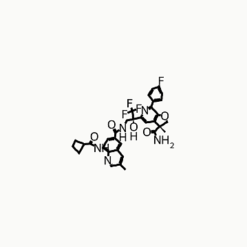 Cc1cnc2c(NC(=O)C3CCC3)cc(C(=O)NC[C@](O)(c3cc4c(c(-c5ccc(F)cc5)n3)OC[C@]4(C)C(N)=O)C(F)(F)F)cc2c1